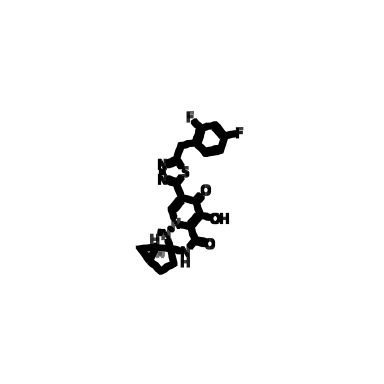 CN1n2cc(-c3nnc(Cc4ccc(F)cc4F)s3)c(=O)c(O)c2C(=O)NC12CCC1C[C@H]12